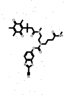 CNC(=O)CCCN(CCN(C)C(=O)CC(C)(C)C1=C(C)C(=O)C(C)=C(C)C1=O)C(=O)Oc1ccc2nc(C#N)sc2c1